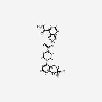 NC(=O)c1cccc2cn(CC(=O)N3CCN(c4cccc5c4COC(F)(F)O5)CC3)nc12